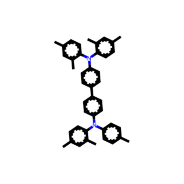 Cc1ccc(N(c2ccc(-c3ccc(N(c4ccc(C)cc4C)c4ccc(C)cc4C)cc3)cc2)c2ccc(C)cc2C)cc1